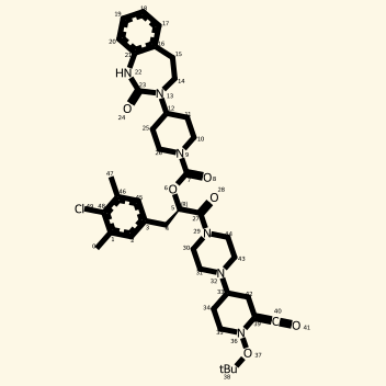 Cc1cc(C[C@@H](OC(=O)N2CCC(N3CCc4ccccc4NC3=O)CC2)C(=O)N2CCN(C3CCN(OC(C)(C)C)C(=C=O)C3)CC2)cc(C)c1Cl